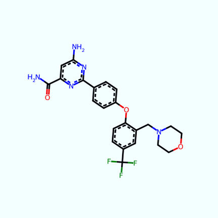 NC(=O)c1cc(N)nc(-c2ccc(Oc3ccc(C(F)(F)F)cc3CN3CCOCC3)cc2)n1